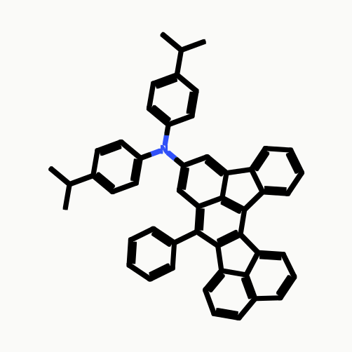 CC(C)c1ccc(N(c2ccc(C(C)C)cc2)c2cc3c(-c4ccccc4)c4c5cccc6cccc(c65)c4c4c5ccccc5c(c2)c34)cc1